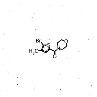 Cc1cc(C(=O)N2CCOCC2)sc1Br